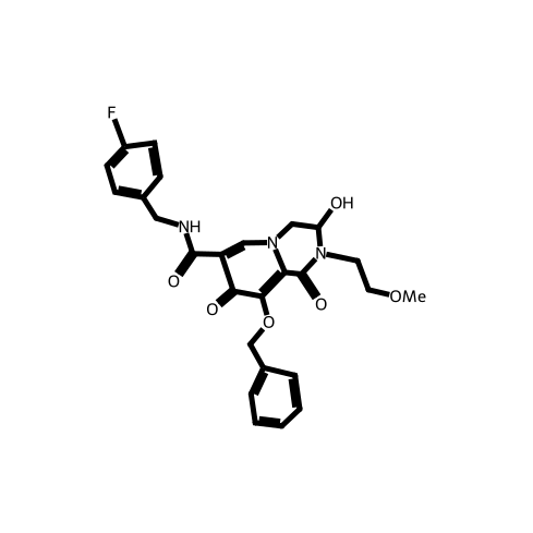 COCCN1C(=O)c2c(OCc3ccccc3)c(=O)c(C(=O)NCc3ccc(F)cc3)cn2CC1O